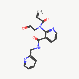 C=CC(=O)N(C[C]=O)c1ncccc1C(=O)NCc1ccccn1